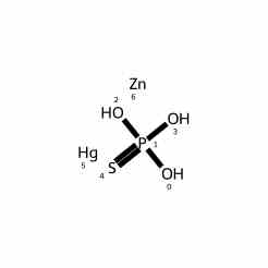 OP(O)(O)=S.[Hg].[Zn]